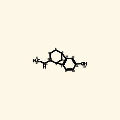 CNN1CCC2CC1c1ccc(O)cc12